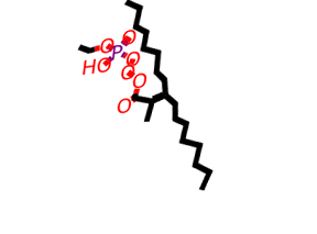 CCCCCCCCC(CCCCCCCC)=C(C)C(=O)OOOP(=O)(O)OCC